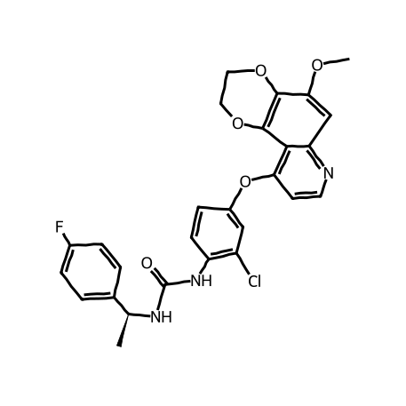 COc1cc2nccc(Oc3ccc(NC(=O)N[C@@H](C)c4ccc(F)cc4)c(Cl)c3)c2c2c1OCCO2